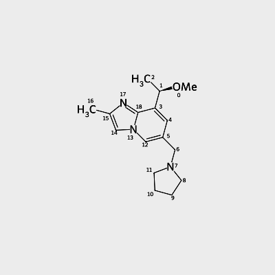 CO[C@H](C)c1cc(CN2CCCC2)cn2cc(C)nc12